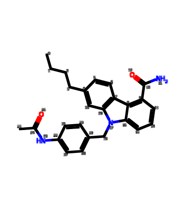 CCCCc1c[c]c2c3c(C(N)=O)cccc3n(Cc3ccc(NC(C)=O)cc3)c2c1